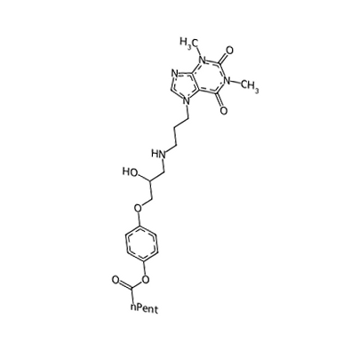 CCCCCC(=O)Oc1ccc(OCC(O)CNCCCn2cnc3c2c(=O)n(C)c(=O)n3C)cc1